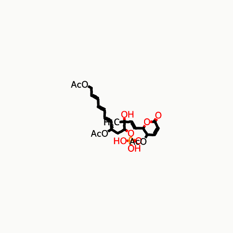 CC(=O)OC/C=C/C=C/C=C/C(CC(OP(=O)(O)O)C(C)(O)/C=C/C1OC(=O)C=CC1OC(C)=O)OC(C)=O